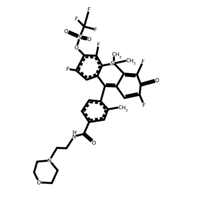 Cc1cc(C(=O)NCCN2CCOCC2)ccc1C1=C2C=C(F)C(=O)C(F)=C2[Si](C)(C)c2c1cc(F)c(OS(=O)(=O)C(F)(F)F)c2F